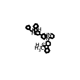 CC1(C)c2ccccc2C2CCC(N(C3=CC=CCN3)c3ccc(C4C=C[C@H]5[C@@H](C4)c4ccccc4N5Cc4ccccc4)cc3)CC21